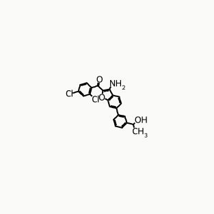 CC(O)c1cccc(-c2ccc3c(N)c(C(=O)c4ccc(Cl)cc4Cl)oc3c2)c1